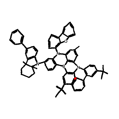 Cc1cc2c3c(c1)N(c1cccc4c1oc1ccccc14)c1cc(N4c5ccc(-c6ccccc6)cc5C5(C)CCCCC45C)ccc1B3c1cc(C(C)(C)C)ccc1N2c1ccc(C(C)(C)C)cc1-c1ccccc1